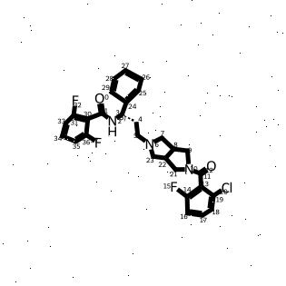 O=C(N[C@@H](CCN1CC2CN(C(=O)c3c(F)cccc3Cl)CC2C1)c1ccccc1)c1c(F)cccc1F